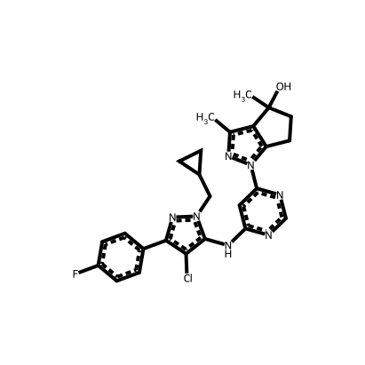 Cc1nn(-c2cc(Nc3c(Cl)c(-c4ccc(F)cc4)nn3CC3CC3)ncn2)c2c1C(C)(O)CC2